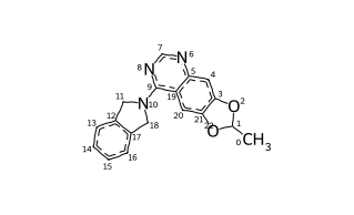 CC1Oc2cc3ncnc(N4Cc5ccccc5C4)c3cc2O1